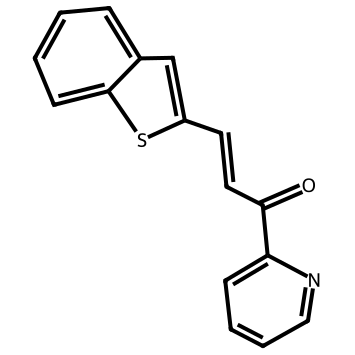 O=C(/C=C/c1cc2ccccc2s1)c1ccccn1